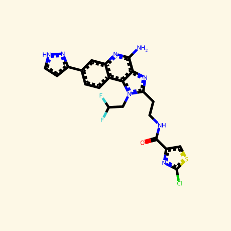 Nc1nc2cc(-c3cc[nH]n3)ccc2c2c1nc(CCNC(=O)c1csc(Cl)n1)n2CC(F)F